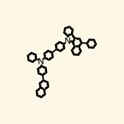 c1ccc(-c2cc3c4ccccc4n(-c4ccc(-c5ccc(N(c6ccccc6)c6ccc(-c7ccc8ccccc8c7)cc6)cc5)cc4)c3c3ccccc23)cc1